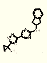 NC1(c2nnc(-c3cnc(NC4Cc5ccccc5C4)nc3)o2)CC1